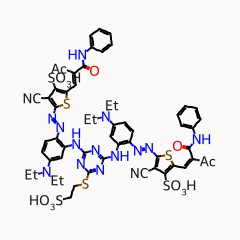 CCN(CC)c1ccc(/N=N/c2sc(/C=C(/C(C)=O)C(=O)Nc3ccccc3)c(S(=O)(=O)O)c2C#N)c(Nc2nc(Nc3cc(N(CC)CC)ccc3/N=N/c3sc(/C=C(\C(C)=O)C(=O)Nc4ccccc4)c(S(=O)(=O)O)c3C#N)nc(SCCS(=O)(=O)O)n2)c1